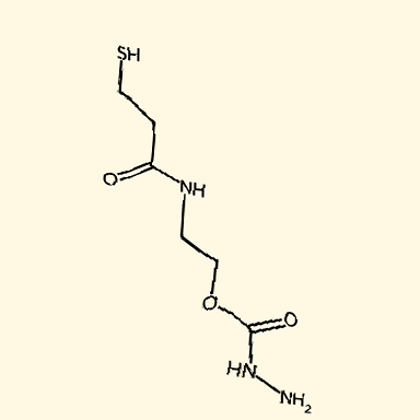 NNC(=O)OCCNC(=O)CCS